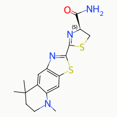 CN1CCC(C)(C)c2cc3nc(C4=N[C@@H](C(N)=O)CS4)sc3cc21